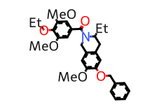 CCOc1c(OC)cc(C(=O)N2Cc3cc(OC)c(OCc4ccccc4)cc3CC2CC)cc1OC